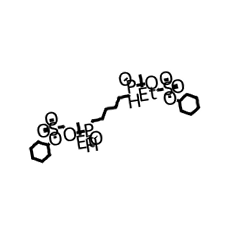 CCC(C)(OCS(=O)(=O)OC1CCCCC1)[PH](=O)CCCCCC[PH](=O)C(C)(CC)OCS(=O)(=O)OC1CCCCC1